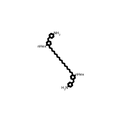 CCCCCCc1cc(Cc2ccc(N)cc2)ccc1CCCCCCCCCCCCCCCCCCc1ccc(Cc2ccc(N)cc2)cc1CCCCCC